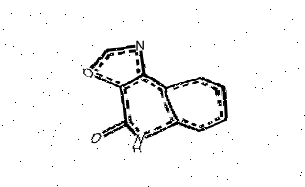 O=c1[nH]c2ccccc2c2ncoc12